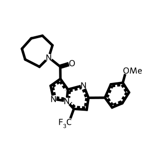 COc1cccc(-c2cc(C(F)(F)F)n3ncc(C(=O)N4CCCCCC4)c3n2)c1